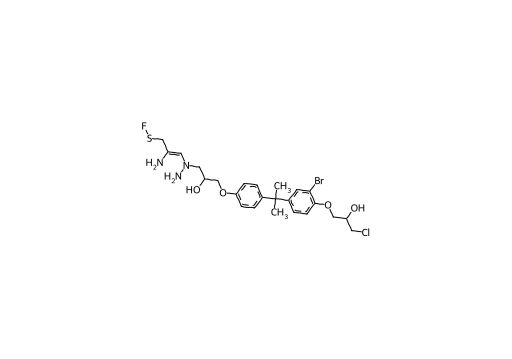 CC(C)(c1ccc(OCC(O)CN(N)/C=C(\N)CSF)cc1)c1ccc(OCC(O)CCl)c(Br)c1